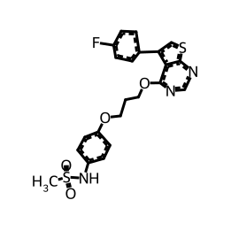 CS(=O)(=O)Nc1ccc(OCCCOc2ncnc3scc(-c4ccc(F)cc4)c23)cc1